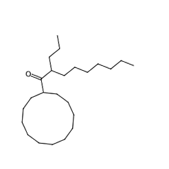 CCCCCCCC(CCC)C(=O)C1CCCCCCCCCCC1